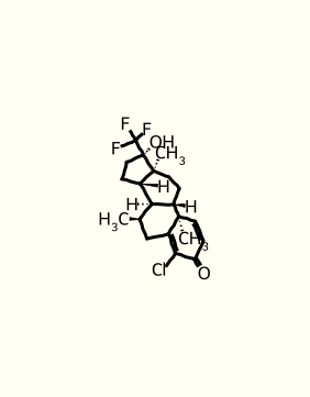 C[C@@H]1CC2=C(Cl)C(=O)C=C[C@]2(C)[C@H]2CC[C@@]3(C)[C@@H](CC[C@@]3(O)C(F)(F)F)[C@H]12